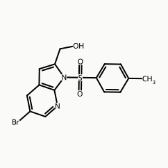 Cc1ccc(S(=O)(=O)n2c(CO)cc3cc(Br)cnc32)cc1